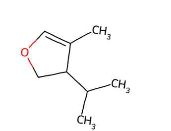 CC1=COCC1C(C)C